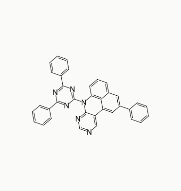 c1ccc(-c2cc3c4c(cccc4c2)N(c2nc(-c4ccccc4)nc(-c4ccccc4)n2)c2ncncc2-3)cc1